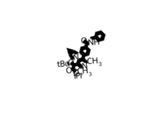 Cc1nc(C)c(C(OC(C)(C)C)C(=O)OC(C)C)c(N2CC3CC3C2)c1-c1ccc(C(=O)NCc2ccccc2)cc1